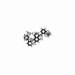 CNc1cc(-c2cccnc2Nc2c(C)ccc3c(Nc4cccc5c4OC(F)(F)O5)nccc23)ncn1